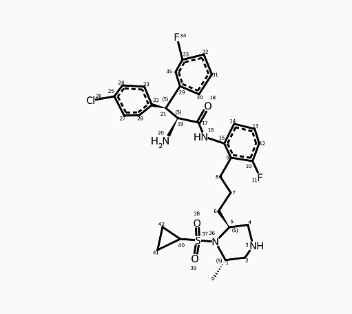 C[C@H]1CNC[C@H](CCCc2c(F)cccc2NC(=O)[C@@H](N)[C@@H](c2ccc(Cl)cc2)c2cccc(F)c2)N1S(=O)(=O)C1CC1